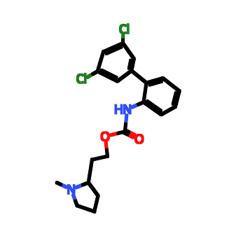 CN1CCCC1CCOC(=O)Nc1ccccc1-c1cc(Cl)cc(Cl)c1